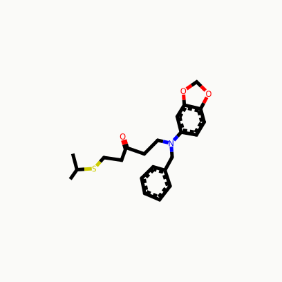 CC(C)SCCC(=O)CCN(Cc1ccccc1)c1ccc2c(c1)OCO2